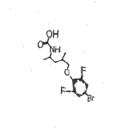 CC(COc1c(F)cc(Br)cc1F)CC(C)NC(=O)O